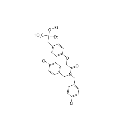 CCO[C@@](CC)(Cc1ccc(OCC(=O)N(Cc2ccc(Cl)cc2)Cc2ccc(Cl)cc2)cc1)C(=O)O